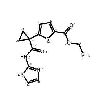 CCOC(=O)c1ccc(C2(C(=O)Nc3nccs3)CC2)s1